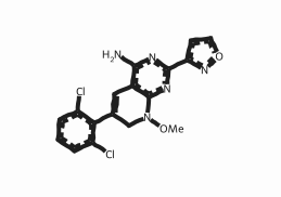 CON1CC(c2c(Cl)cccc2Cl)=Cc2c(N)nc(-c3ccon3)nc21